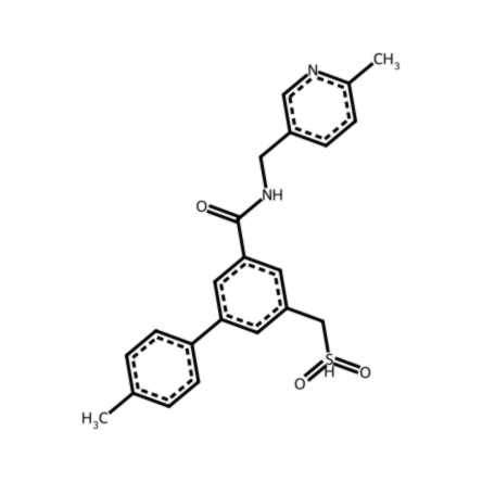 Cc1ccc(-c2cc(C[SH](=O)=O)cc(C(=O)NCc3ccc(C)nc3)c2)cc1